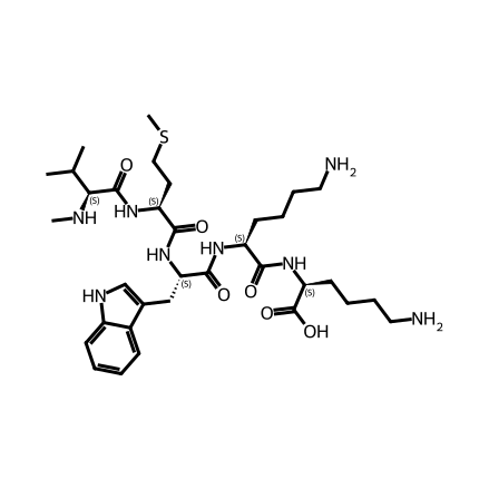 CN[C@H](C(=O)N[C@@H](CCSC)C(=O)N[C@@H](Cc1c[nH]c2ccccc12)C(=O)N[C@@H](CCCCN)C(=O)N[C@@H](CCCCN)C(=O)O)C(C)C